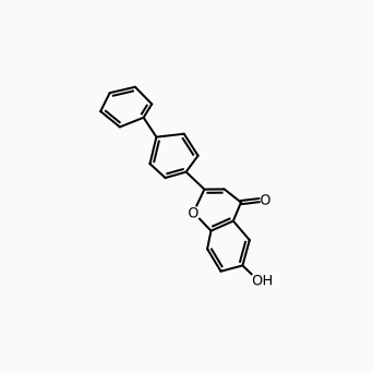 O=c1cc(-c2ccc(-c3ccccc3)cc2)oc2ccc(O)cc12